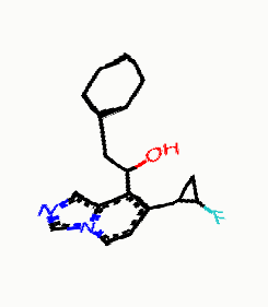 OC(CC1CCCCC1)c1c(C2CC2F)ccn2cncc12